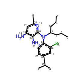 CCCC(CCC)N(c1ccc(C(C)C)cc1Br)c1nc(C)cc(N)c1N